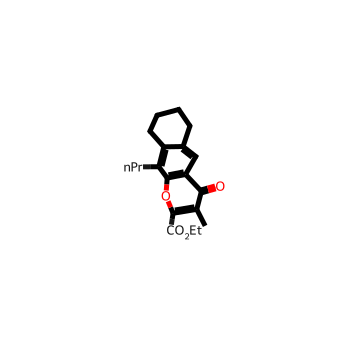 CCCc1c2c(cc3c(=O)c(C)c(C(=O)OCC)oc13)CCCC2